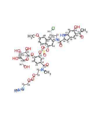 COc1ccc2c(OS(=O)(=O)Oc3cc(C(=O)N(C)CCOOOCCN=[N+]=[N-])ccc3O[C@@H]3O[C@H](CO)[C@H](O)[C@H](O)C3O)cc3c(c2c1)[C@H](CCl)CN3C(=O)c1cc2cc(C(C)=O)c(O)cc2[nH]1